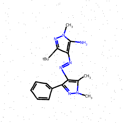 Cc1c(/N=N/c2c(C(C)(C)C)nn(C)c2N)c(-c2ccccc2)nn1C